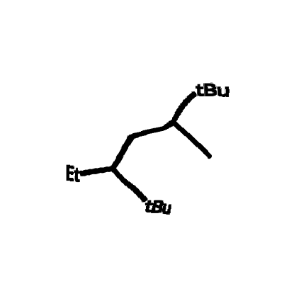 CCC(CC(C)C(C)(C)C)C(C)(C)C